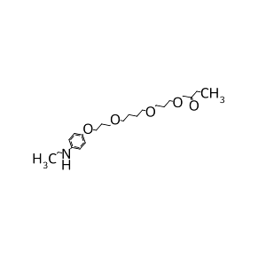 CCNc1ccc(OCCCOCCCCOCCCOCC(=O)CC)cc1